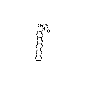 O=C1C=CC(=O)N1c1ccc2cc3cc4cc5ccccc5cc4cc3cc2c1